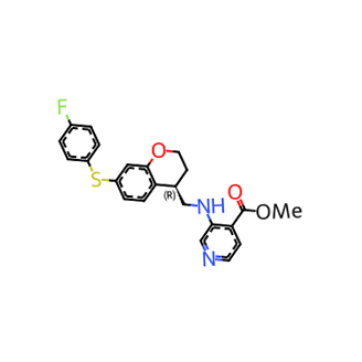 COC(=O)c1ccncc1NC[C@@H]1CCOc2cc(Sc3ccc(F)cc3)ccc21